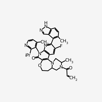 C=CC(=O)N1CC2CCOc3c(c4cc(F)c(-c5c(C)ccc6[nH]ncc56)nc4n(-c4c(C)ccnc4C(C)C)c3=O)N2CC1C